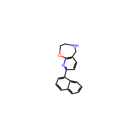 c1ccc2c(-c3ccc4c(n3)OCCNC4)cccc2c1